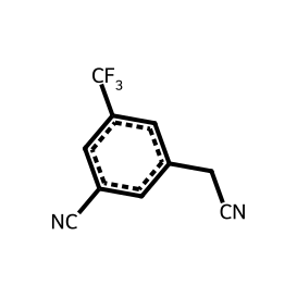 N#CCc1cc(C#N)cc(C(F)(F)F)c1